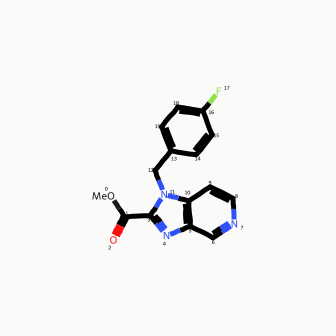 COC(=O)c1nc2cnccc2n1Cc1ccc(F)cc1